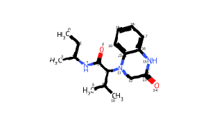 CCC(C)NC(=O)C(C(C)C)N1CC(=O)Nc2ccccc21